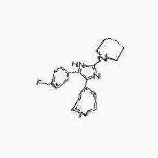 Fc1ccc(-c2[nH]c(N3CCCCC3)nc2-c2ccncc2)cc1